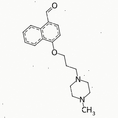 CN1CCN(CCCOc2ccc(C=O)c3ccccc23)CC1